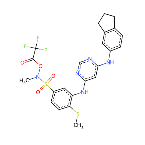 CSc1ccc(S(=O)(=O)N(C)OC(=O)C(F)(F)F)cc1Nc1cc(Nc2ccc3c(c2)CCC3)ncn1